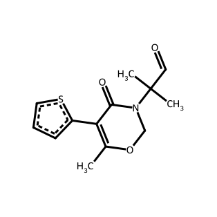 CC1=C(c2cccs2)C(=O)N(C(C)(C)C=O)CO1